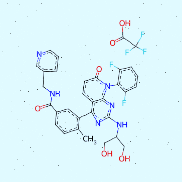 Cc1ccc(C(=O)NCc2cccnc2)cc1-c1nc(NC(CO)CO)nc2c1ccc(=O)n2-c1c(F)cccc1F.O=C(O)C(F)(F)F